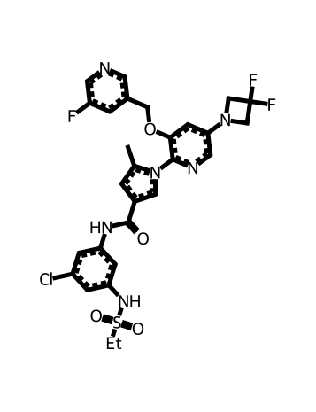 CCS(=O)(=O)Nc1cc(Cl)cc(NC(=O)c2cc(C)n(-c3ncc(N4CC(F)(F)C4)cc3OCc3cncc(F)c3)c2)c1